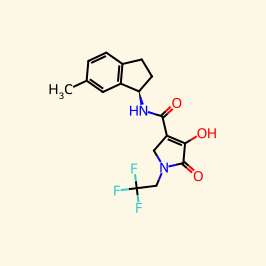 Cc1ccc2c(c1)[C@H](NC(=O)C1=C(O)C(=O)N(CC(F)(F)F)C1)CC2